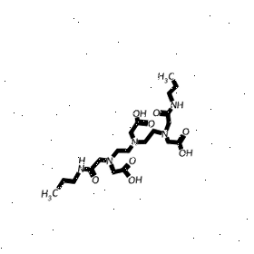 CCCNC(=O)CN(CCN(CCN(CC(=O)O)CC(=O)NCCC)CC(=O)O)CC(=O)O